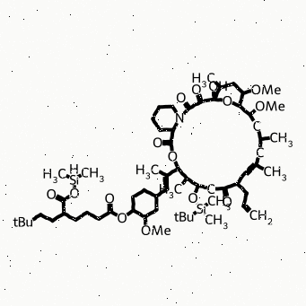 C=CCC1/C=C(\C)CC(C)CC(OC)C2OC(O)(C(=O)C(=O)N3CCCCC3C(=O)OC(C(C)=CC3CCC(OC(=O)CCCC(CCC(C)(C)C)C(=O)O[SiH](C)C)C(OC)C3)C(C)C(O[Si](C)(C)C(C)(C)C)CC1=O)C(C)CC2OC